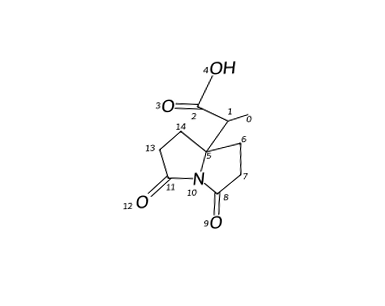 CC(C(=O)O)C12CCC(=O)N1C(=O)CC2